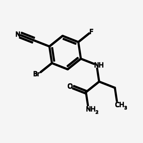 CCC(Nc1cc(Br)c(C#N)cc1F)C(N)=O